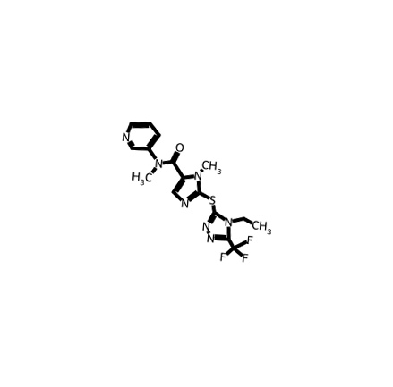 CCn1c(Sc2ncc(C(=O)N(C)c3cccnc3)n2C)nnc1C(F)(F)F